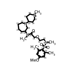 COc1cc(C)c(S(=O)(=O)N(C)CCOCC(=O)N(C)C2CCCCN(C3CCN(C)CC3)C2)c(C)c1